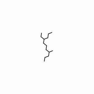 CCCC(C)CCCC(CC)CCC